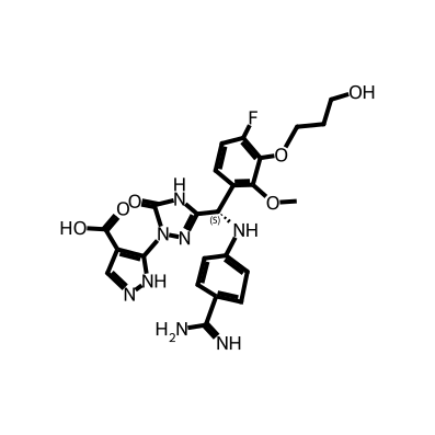 COc1c([C@H](Nc2ccc(C(=N)N)cc2)c2nn(-c3[nH]ncc3C(=O)O)c(=O)[nH]2)ccc(F)c1OCCCO